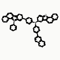 c1ccc(-n2c3cc(-c4ccc(N(c5ccc(-c6ccc7ccccc7c6)cc5)c5ccc6oc7c8ccccc8ccc7c6c5)cc4)ccc3c3ccc4ccccc4c32)cc1